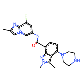 Cc1cn2cc(NC(=O)c3ccc(N4CCNCC4)c4c(C)n(C)nc34)cc(F)c2n1